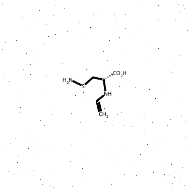 C=CN[C@H](CSN)C(=O)O